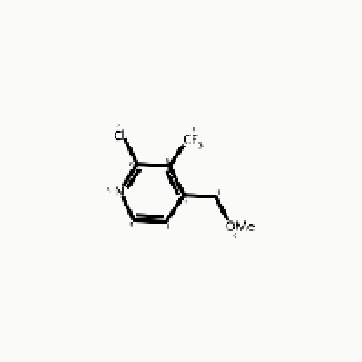 COCc1ccnc(Cl)c1C(F)(F)F